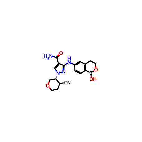 N#CC1CCOC[C@@H]1n1cc(C(N)=O)c(Nc2ccc3c(c2)CCOB3O)n1